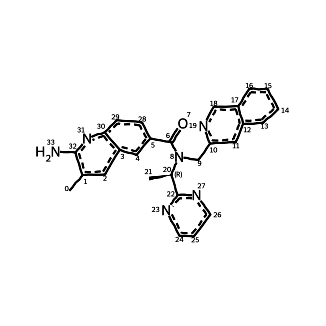 Cc1cc2cc(C(=O)N(Cc3cc4ccccc4cn3)[C@H](C)c3ncccn3)ccc2nc1N